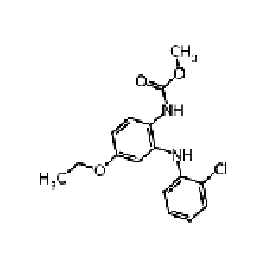 CCOc1ccc(NC(=O)OC)c(Nc2ccccc2Cl)c1